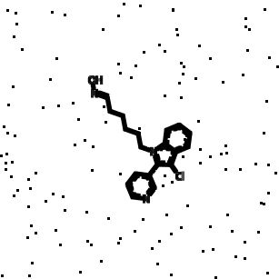 ON=CCCCCCn1c(-c2cccnc2)c(Cl)c2ccccc21